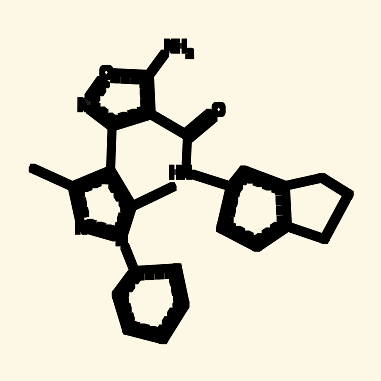 Cc1nn(-c2ccccc2)c(C)c1-c1noc(N)c1C(=O)Nc1ccc2c(c1)CCC2